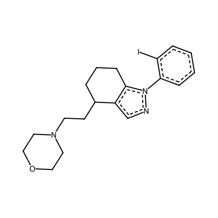 Ic1ccccc1-n1ncc2c1CCCC2CCN1CCOCC1